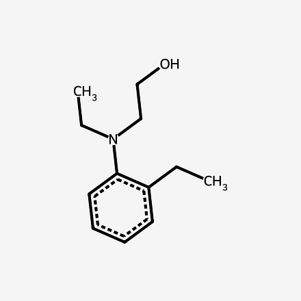 CCc1ccccc1N(CC)CCO